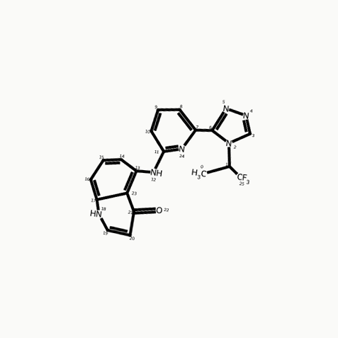 CC(n1cnnc1-c1cccc(Nc2cccc3[nH]ccc(=O)c23)n1)C(F)(F)F